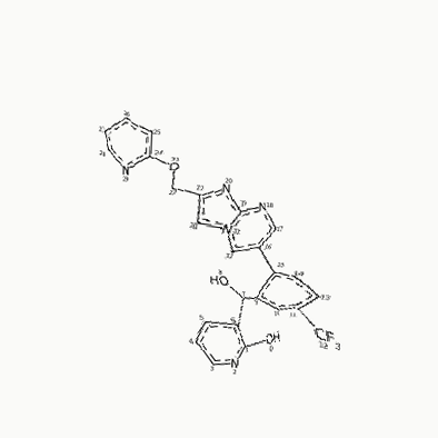 Oc1ncccc1C(O)c1cc(C(F)(F)F)ccc1-c1cnc2nc(COc3ccccn3)cn2c1